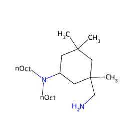 CCCCCCCCN(CCCCCCCC)C1CC(C)(C)CC(C)(CN)C1